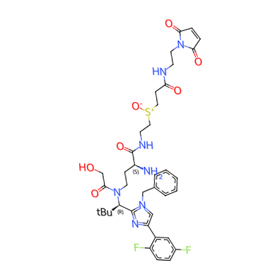 CC(C)(C)[C@H](c1nc(-c2cc(F)ccc2F)cn1Cc1ccccc1)N(CC[C@H](N)C(=O)NCC[S+]([O-])CCC(=O)NCCN1C(=O)C=CC1=O)C(=O)CO